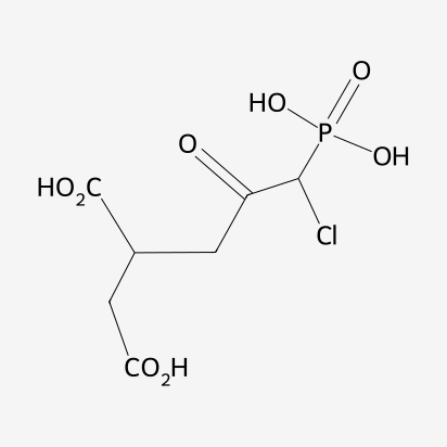 O=C(O)CC(CC(=O)C(Cl)P(=O)(O)O)C(=O)O